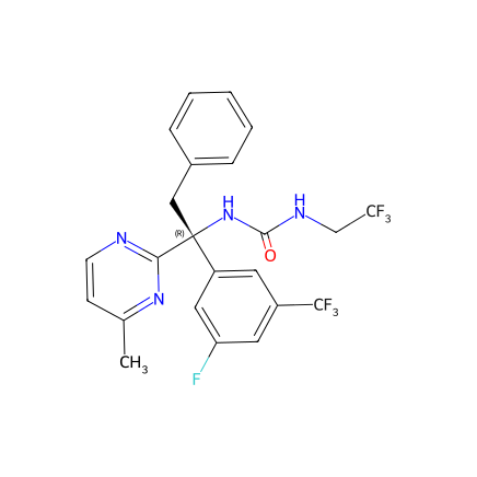 Cc1ccnc([C@](Cc2ccccc2)(NC(=O)NCC(F)(F)F)c2cc(F)cc(C(F)(F)F)c2)n1